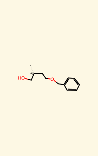 C[C@@H](CO)CCOCc1ccccc1